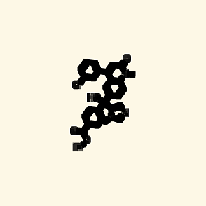 CC(C)OC(=O)c1ccc(C(O)(c2ccc3c(c2)c(-c2cccc(Cl)c2)cc(=O)n3C)c2cncn2C)cc1